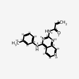 C=CC(=O)Nc1nc(Nc2cccc(C)c2)c2ccncc2n1